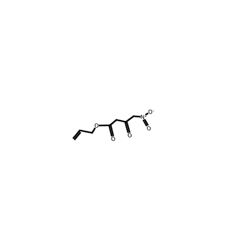 C=CCOC(=O)CC(=O)C[N+](=O)[O-]